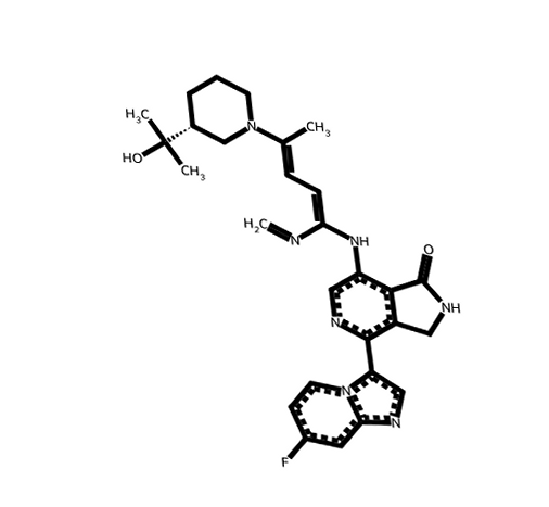 C=N/C(=C\C=C(/C)N1CCC[C@@H](C(C)(C)O)C1)Nc1cnc(-c2cnc3cc(F)ccn23)c2c1C(=O)NC2